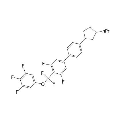 CCCC1CCC(c2ccc(-c3cc(F)c(C(F)(F)Oc4cc(F)c(F)c(F)c4)c(F)c3)cc2)C1